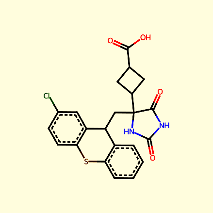 O=C1NC(=O)C(CC2c3ccccc3Sc3ccc(Cl)cc32)(C2CC(C(=O)O)C2)N1